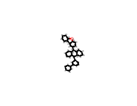 c1ccc(-c2cccc(-c3c4ccccc4c(-c4ccc5oc6ccccc6c5c4)c4ccccc34)c2)cc1